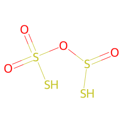 O=S(S)OS(=O)(=O)S